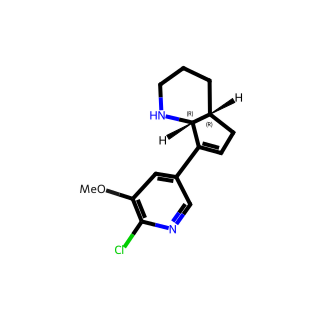 COc1cc(C2=CC[C@H]3CCCN[C@@H]23)cnc1Cl